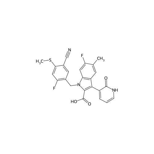 CSc1cc(F)c(Cn2c(C(=O)O)c(-c3ccc[nH]c3=O)c3cc(C)c(F)cc32)cc1C#N